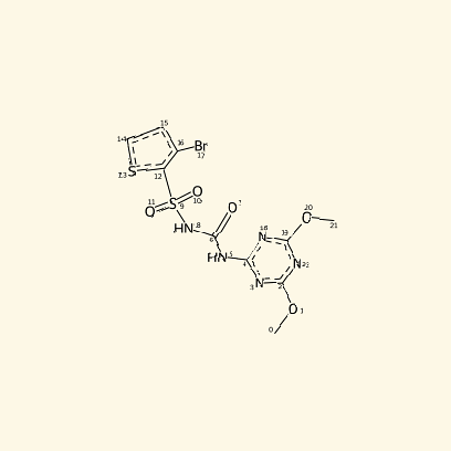 COc1nc(NC(=O)NS(=O)(=O)c2sccc2Br)nc(OC)n1